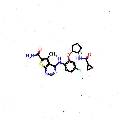 Cc1c(C(N)=O)sc2ncnc(Nc3ccc(F)cc3O[C@H]3CCC[C@@H]3NC(=O)C3CC3)c12